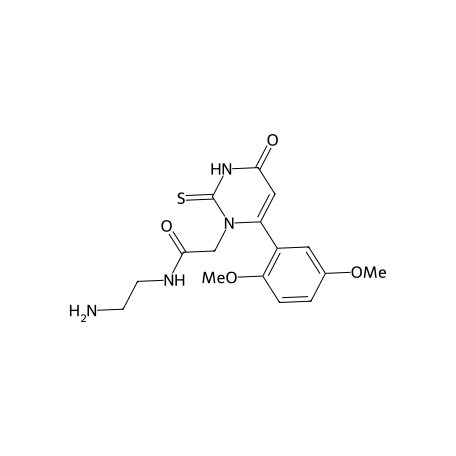 COc1ccc(OC)c(-c2cc(=O)[nH]c(=S)n2CC(=O)NCCN)c1